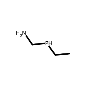 CCPCN